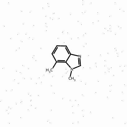 Cc1cccc2ncn(C)c12